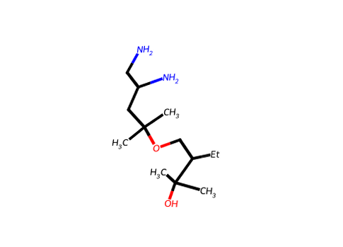 CCC(COC(C)(C)CC(N)CN)C(C)(C)O